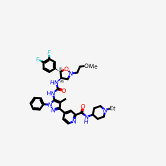 CCN1CCC(NC(=O)c2cc(-c3nn(-c4ccccc4)c(NC(=O)N[C@@H]4CN(CCOC)O[C@H]4c4ccc(F)c(F)c4)c3C)ccn2)CC1